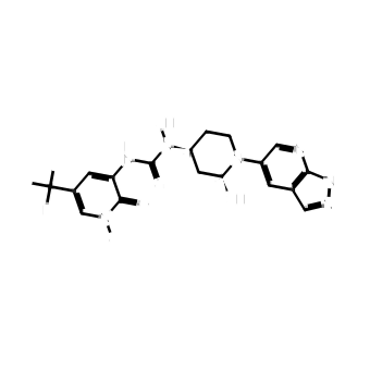 C[C@H]1C[C@@H](N(C)C(=O)Nc2cc(C(F)(F)F)cn(C)c2=O)CCN1c1cnc2[nH]ncc2c1